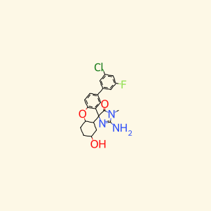 CN1C(=O)C2(N=C1N)c1cc(-c3cc(F)cc(Cl)c3)ccc1OC1CCC(O)CC12